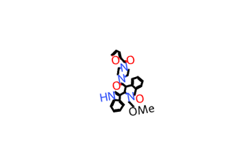 COCCN1C(=O)c2ccccc2C(C(=O)N2CCN(C(=O)c3ccco3)CC2)C1c1c[nH]c2ccccc12